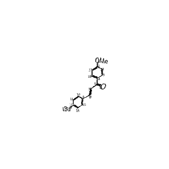 COc1ccc(C(=O)/C=C/c2ccc(C(C)(C)C)cc2)cc1